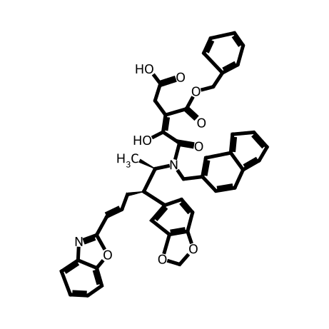 C[C@H]([C@H](C/C=C/c1nc2ccccc2o1)c1ccc2c(c1)OCO2)N(Cc1ccc2ccccc2c1)C(=O)C(O)=C(CC(=O)O)C(=O)OCc1ccccc1